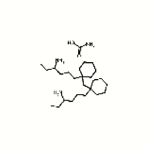 CCC(N)CCCC1(CC2(CCCC(N)CC)CCCCC2)CCCCC1.NC(=O)O